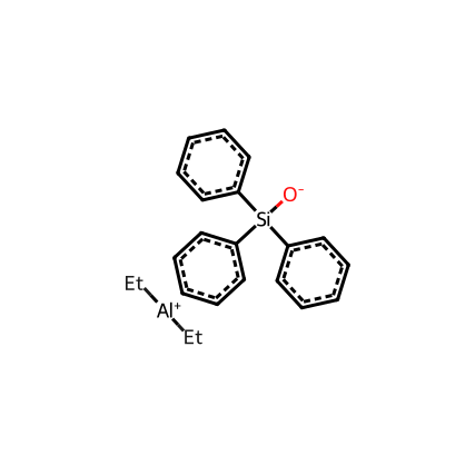 C[CH2][Al+][CH2]C.[O-][Si](c1ccccc1)(c1ccccc1)c1ccccc1